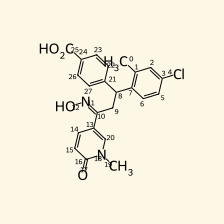 Cc1cc(Cl)ccc1C(CC(=NO)c1ccc(=O)n(C)c1)c1ccc(C(=O)O)cc1